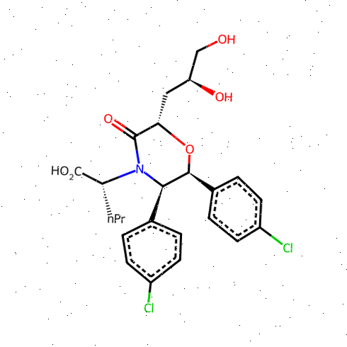 CCC[C@H](C(=O)O)N1C(=O)[C@H](C[C@H](O)CO)O[C@@H](c2ccc(Cl)cc2)[C@H]1c1ccc(Cl)cc1